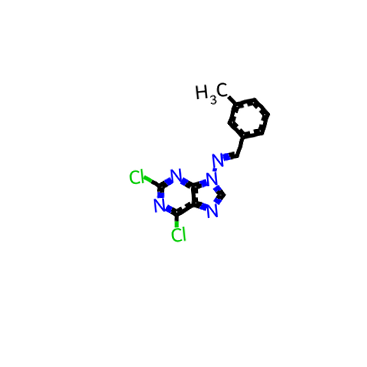 Cc1cccc(/C=N/n2cnc3c(Cl)nc(Cl)nc32)c1